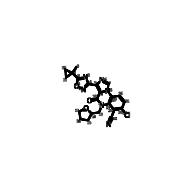 CC1(c2nc(-c3ncn4c3c(=O)n(CC3CCCO3)c3c(C#N)c(Cl)ccc34)no2)CC1